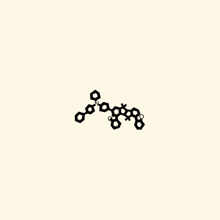 CC1(C)C2=C(c3c1cc(-c1ccc(N(c4ccccc4)c4ccc(-c5ccccc5)cc4)cc1)c1oc4ccccc4c31)C(C)(C)c1c2ccc2oc3ccccc3c12